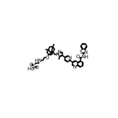 Cc1c(-c2ccc(-c3cnc4cccc(C(=O)Nc5nc6ccccc6s5)c4c3)nc2)cnn1CC12CC3(C)CC(C)(C1)CC(OCCNCCS(=O)(=O)O)(C3)C2